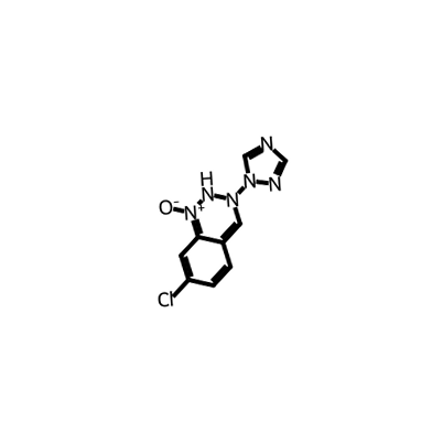 [O-][N+]1=c2cc(Cl)ccc2=CN(n2cncn2)N1